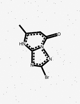 Cc1cc(=O)n2nc(Br)nc2[nH]1